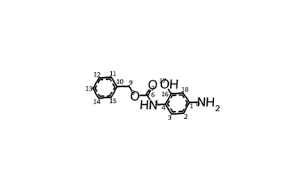 Nc1ccc(NC(=O)OCc2ccccc2)c(O)c1